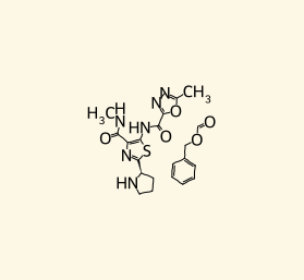 CNC(=O)c1nc([C@H]2CCCN2)sc1NC(=O)c1nnc(C)o1.O=COCc1ccccc1